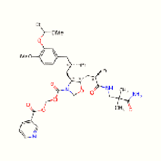 CCC(OC)Oc1cc(C[C@@H](C[C@H]2[C@H](C[C@H](C(=O)NCC(C)(C)C(N)=O)C(C)C)OCN2C(=O)OCOC(=O)c2cccnc2)C(C)C)ccc1OC